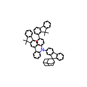 CC1(C)c2ccccc2-c2ccc(-c3ccccc3N(c3ccc(-c4cccc5c4C(C)(C)c4ccccc4-5)cc3)c3ccc4c(c3)C3(c5ccccc5-4)C4CC5CC(C4)CC3C5)cc21